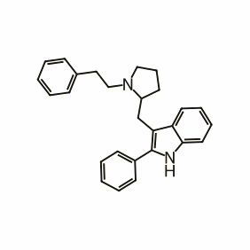 c1ccc(CCN2CCCC2Cc2c(-c3ccccc3)[nH]c3ccccc23)cc1